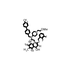 [2H]C1=C(SCc2cccc(F)c2F)N(CC(=O)N(Cc2ccc(-c3ccc(C(F)(F)F)cc3)cc2)C2CCN(CCOC)CC2)c2c([2H])c([2H])c(C)c([2H])c2C1O